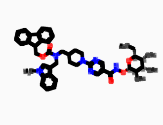 CC(=O)OC[C@H]1O[C@@H](ONC(=O)c2cnc(N3CCC(CN(Cc4cn(C)c5ccccc45)C(=O)OCC4c5ccccc5-c5ccccc54)CC3)nc2)[C@H](OC(C)=O)[C@@H](OC(C)=O)[C@H]1OC(C)=O